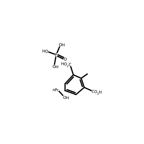 CCCO.Cc1c(C(=O)O)cccc1C(=O)O.O=P(O)(O)O